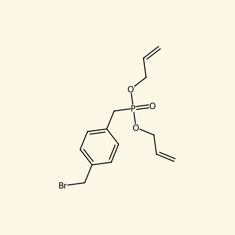 C=CCOP(=O)(Cc1ccc(CBr)cc1)OCC=C